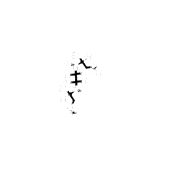 [2H]OC[C@@]([2H])(CC)N([2H])C([2H])([2H])C([2H])([2H])N([2H])[C@]([2H])(CC)CO[2H]